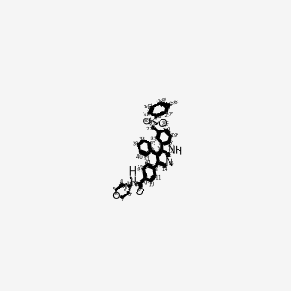 O=C(NN1CCOCC1)c1ccc(-c2cnc3[nH]c4ccc(CS(=O)(=O)c5ccccc5)cc4c3c2-c2ccccc2)cc1